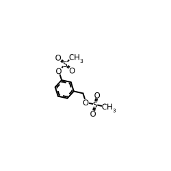 CS(=O)(=O)OCc1cccc(OS(C)(=O)=O)c1